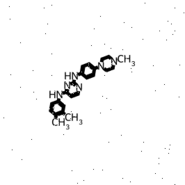 Cc1ccc(Nc2ccnc(Nc3ccc(N4CCN(C)CC4)cc3)n2)cc1C